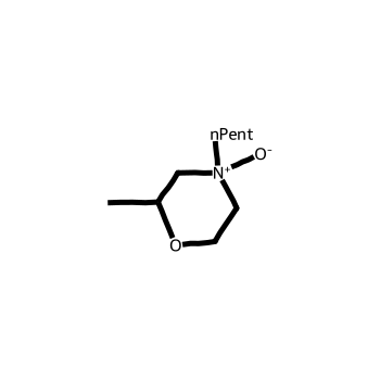 CCCCC[N+]1([O-])CCOC(C)C1